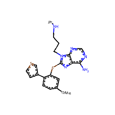 COc1ccc(-c2ccsc2)c(Sc2nc3c(N)ncnc3n2CCCNC(C)C)c1